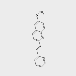 COc1ccc2nc(/C=C/c3ccccn3)ccc2c1